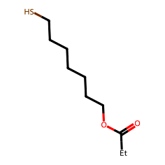 CCC(=O)OCCCCCCCS